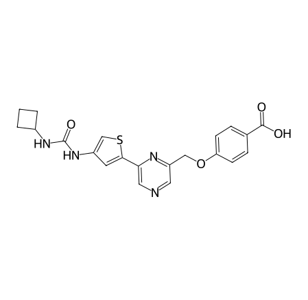 O=C(Nc1csc(-c2cncc(COc3ccc(C(=O)O)cc3)n2)c1)NC1CCC1